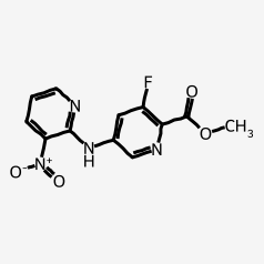 COC(=O)c1ncc(Nc2ncccc2[N+](=O)[O-])cc1F